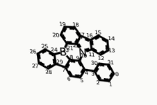 c1ccc(-c2ccc3c4c2-n2c5ccccc5c5cccc(c52)B4c2ccccc2-3)cc1